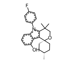 CC1(C)CO[C@]2(CC[C@@H](C)CC2)c2c1n(-c1ccc(F)cc1)c1cccc(O)c12